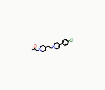 CC(=O)CN1CCC(CCN2CC=C(c3ccc(Cl)cc3)CC2)CC1